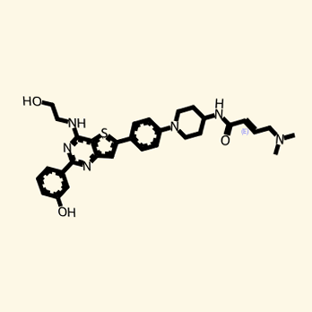 CN(C)C/C=C/C(=O)NC1CCN(c2ccc(-c3cc4nc(-c5cccc(O)c5)nc(NCCO)c4s3)cc2)CC1